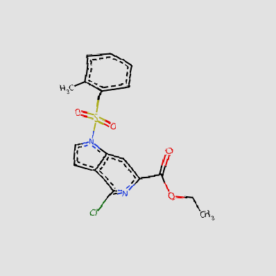 CCOC(=O)c1cc2c(ccn2S(=O)(=O)c2ccccc2C)c(Cl)n1